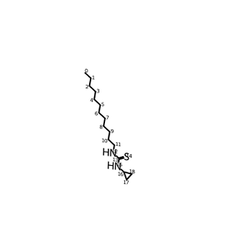 CCCCCCCCCCCCNC(=S)NC1CC1